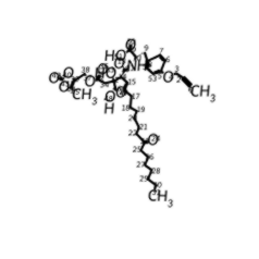 CC#CCOc1ccc(C[C@H](NC(=O)[C@@H](/C=C/CCCCCCC(=O)CCCCCCC)[C@@](O)(CC(=O)OCc2oc(=O)oc2C)C(=O)O)C(=O)O)cc1